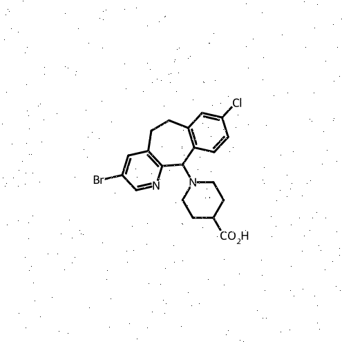 O=C(O)C1CCN(C2c3ccc(Cl)cc3CCc3cc(Br)cnc32)CC1